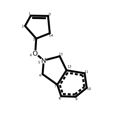 C1=CCC(ON2Cc3ccccc3C2)C1